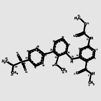 CNC(=O)c1cnc(NC(=O)OC)cc1Nc1cccc(-c2ncc(S(=O)(=O)C(C)C)cn2)c1OC